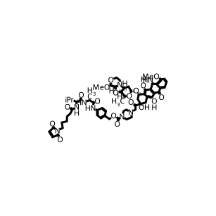 COc1cccc2c1C(=N)c1c(O)c3c(c(O)c1C2=O)C[C@@](O)(C(=O)CN1CCN(C(=O)OCc2ccc(NC(=O)C(C)NC(=O)C(NC(=O)CCCCCN4C(=O)C=CC4=O)C(C)C)cc2)CC1)C[C@@H]3O[C@H]1C[C@H]2[C@H](O[C@@H]3[C@@H](OC)OCCN32)[C@H](C)O1